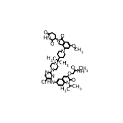 CNC(=O)COc1cc2cc(Nc3nc(N4CCN(C(C)(C)C5CCN(c6cc(OC)cc7c6CN(C6CCC(=O)NC6=O)C7=O)CC5)CC4)ncc3Cl)ccc2n(C(C)C)c1=O